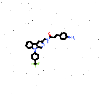 Nc1ccc(/C=C/C(=O)NCc2cc3c4ccccc4n(-c4ccc(C(F)(F)F)cc4)c3cn2)cc1